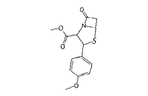 COC(=O)C1C(c2ccc(OC)cc2)SC2CC(=O)N21